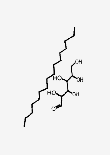 CCCCCCCCCCCCCCCC.O=CC(O)C(O)C(O)C(O)CO